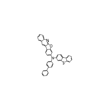 c1ccc(-c2ccc(N(c3ccc4c(c3)oc3nc5ccccc5cc34)c3ccc4c(c3)sc3ccccc34)cc2)cc1